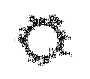 CCCC[C@H]1C(=O)N(C)[C@@H](CCCC)C(=O)N[C@@H](CC(=O)O)C(=O)N[C@H](C(=O)NCC(N)=O)CSCC(=O)N[C@@H](Cc2ccc(O)cc2)C(=O)N(C)[C@@H](C)C(=O)N[C@@H](CC(=O)O)C(=O)N2CCCC2C(=O)N[C@@H](Cc2cnc[nH]2)C(=O)N[C@@H](CCC(=O)O)C(=O)N2C[C@H](O)C[C@H]2C(=O)N[C@@H](Cc2c[nH]c3ccccc23)C(=O)N[C@@H](CCN)C(=O)N[C@@H](Cc2cn(CC(=O)O)c3ccccc23)C(=O)N1C